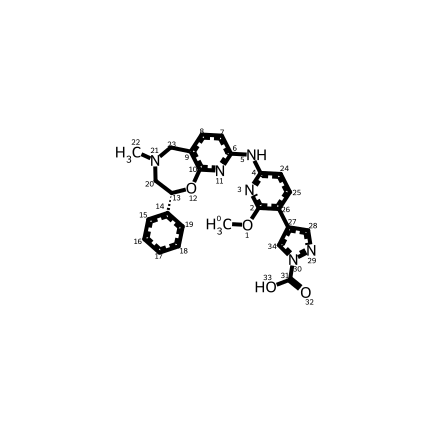 COc1nc(Nc2ccc3c(n2)O[C@H](c2ccccc2)CN(C)C3)ccc1-c1cnn(C(=O)O)c1